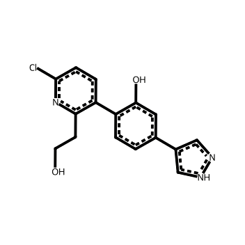 OCCc1nc(Cl)ccc1-c1ccc(-c2cn[nH]c2)cc1O